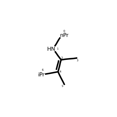 CCCN/C(C)=C(/C)C(C)C